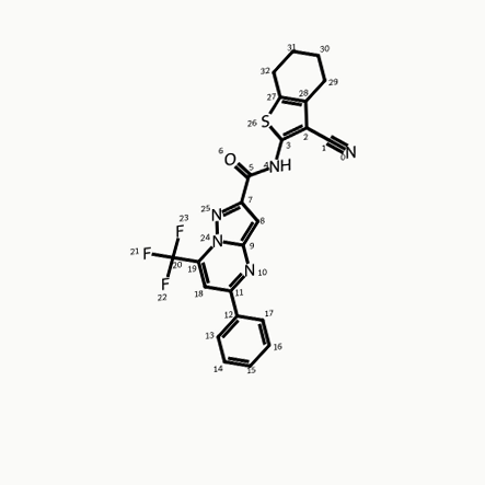 N#Cc1c(NC(=O)c2cc3nc(-c4ccccc4)cc(C(F)(F)F)n3n2)sc2c1CCCC2